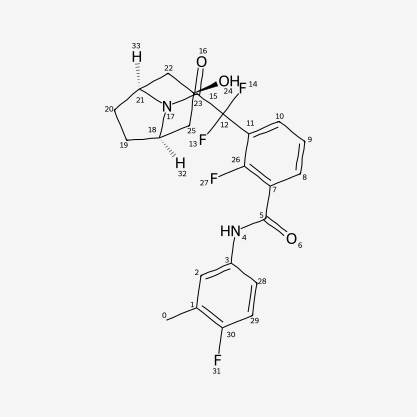 Cc1cc(NC(=O)c2cccc(C(F)(F)C(=O)N3[C@@H]4CC[C@H]3C[C@@H](O)C4)c2F)ccc1F